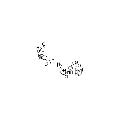 Cn1nc(C2CCC(=O)NC2=O)c2ccc(C(=O)N3CCC(CN4CCN(c5ncc(Cl)c(Nc6ccc7c(c6)c6c(c(=O)n7C)OCC(F)(F)[C@H](C7CC7)N6)n5)CC4)CC3)cc21